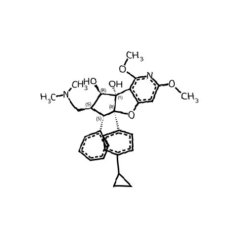 COc1cc2c(c(OC)n1)[C@]1(O)[C@H](O)[C@H](CN(C)C)[C@@H](c3ccccc3)[C@]1(c1ccc(C3CC3)cc1)O2